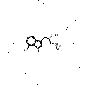 CC(C)c1cccc2c(C[C@H](C[SiH2]N)C(=O)O)c[nH]c12